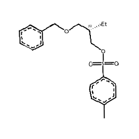 CC[C@@H](COCc1ccccc1)COS(=O)(=O)c1ccc(C)cc1